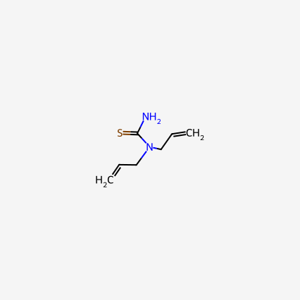 C=CCN(CC=C)C(N)=S